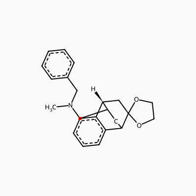 CN(Cc1ccccc1)CC1CC2c3ccccc3[C@@H]1CC21OCCO1